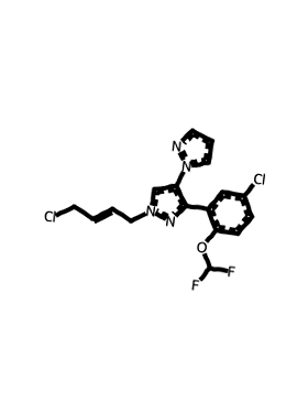 FC(F)Oc1ccc(Cl)cc1-c1nn(C/C=C/CCl)cc1-n1cccn1